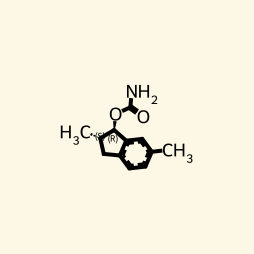 Cc1ccc2c(c1)[C@H](OC(N)=O)[C@@H](C)C2